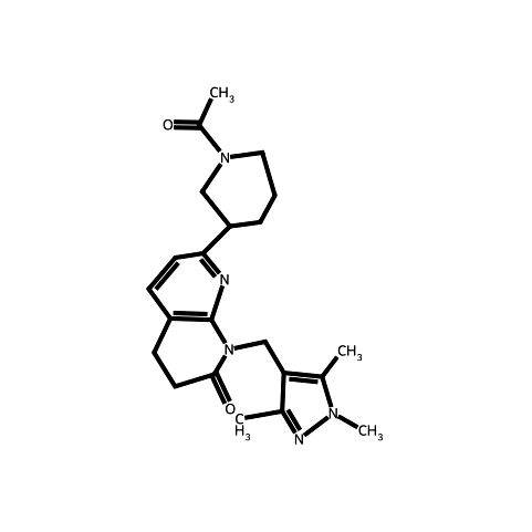 CC(=O)N1CCCC(c2ccc3c(n2)N(Cc2c(C)nn(C)c2C)C(=O)CC3)C1